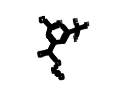 O=NOC(=O)c1cc(Cl)nc(C(F)(F)F)c1